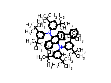 CC(C)(C)c1cc(N(c2cc(C(C)(C)C)cc(C(C)(C)C)c2)c2c3ccccc3c(N(c3cc(C(C)(C)C)cc(C(C)(C)C)c3)c3cc(C(C)(C)C)cc(C(C)(C)C)c3)c3cc(-c4ccccc4)ccc23)cc(C(C)(C)C)c1